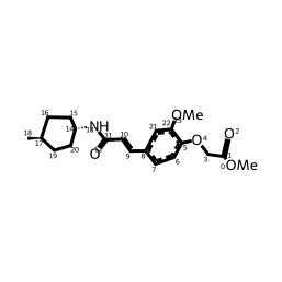 COC(=O)COc1ccc(C=CC(=O)N[C@H]2CC[C@H](C)CC2)cc1OC